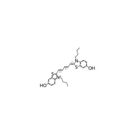 CCCCN1/C(=C/C=C/C=C/c2sc3cc(O)ccc3[n+]2CCCC)Sc2cc(O)ccc21